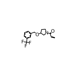 C=CC(=O)N1CCC(OCc2cccc(C(F)(F)F)c2)C1